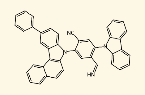 N#Cc1cc(-n2c3ccccc3c3ccccc32)c(C=N)cc1-n1c2ccc(-c3ccccc3)cc2c2c3ccccc3ccc21